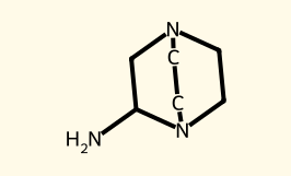 NC1CN2CCN1CC2